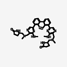 CNc1nc(-c2cccc(-c3cccc(-c4cnc(CN(C)CC5CCC(=O)N5)c(NC)n4)c3Cl)c2Cl)cnc1CN(C)CC1CCC(=O)N1